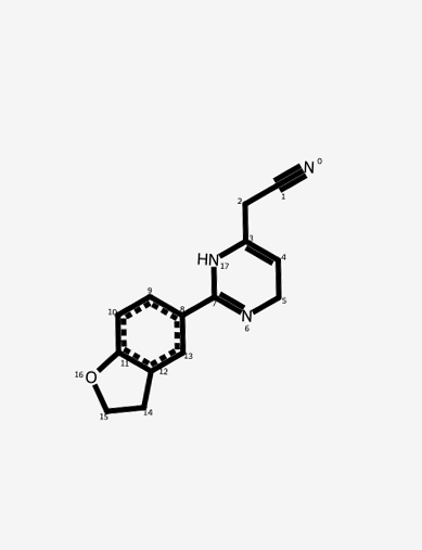 N#CCC1=CCN=C(c2ccc3c(c2)CCO3)N1